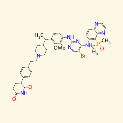 COc1cc(C(C)C2CCN(CCc3ccc(C4CCC(=O)NC4=O)cc3)CC2)ccc1Nc1ncc(Br)c(Nc2ccc3nccnc3c2P(C)(C)=O)n1